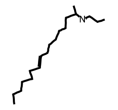 CCCCCCC=CCCCCCCC(C)[N]CCC